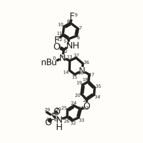 CCCCN(C(=O)Nc1ccc(F)cc1F)C1CCN(Cc2ccc(Oc3ccc(NS(C)(=O)=O)cc3)cc2)CC1